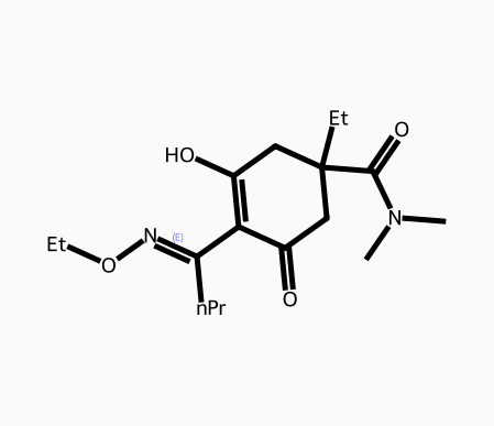 CCC/C(=N\OCC)C1=C(O)CC(CC)(C(=O)N(C)C)CC1=O